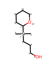 C[Si](C)(CCCO)C1CCCCO1